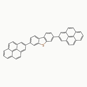 c1cc2ccc3cc(-c4ccc5c(c4)sc4cc(-c6cc7ccc8cccc9ccc(c6)c7c89)ccc45)cc4ccc(c1)c2c34